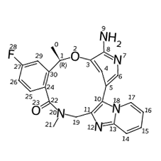 C[C@H]1Oc2cc(cnc2N)-c2c(nc3ccccn23)CN(C)C(=O)c2ccc(F)cc21